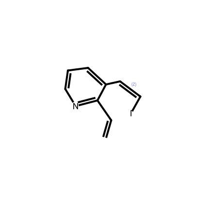 C=Cc1ncccc1/C=C\I